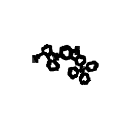 N#Cc1cccc2c1c1ccccc1n2-c1ccc2sc3ccc([Si](c4ccccc4)(c4ccccc4)c4ccccc4)cc3c2c1